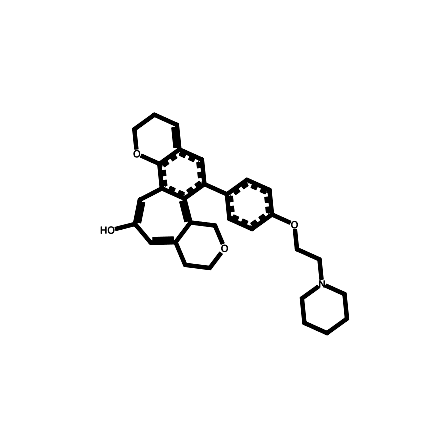 OC1=Cc2c3c(cc(-c4ccc(OCCN5CCCCC5)cc4)c2=C2COCCC2=C1)=CCCO3